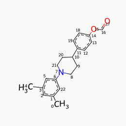 Cc1cc(C)cc(N2CCC(c3ccc(OC=O)cc3)CC2)c1